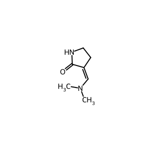 CN(C)C=C1CCNC1=O